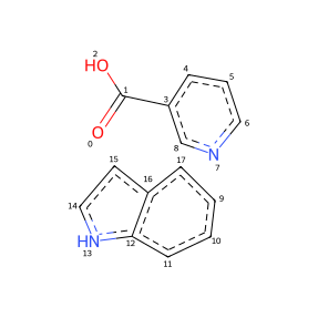 O=C(O)c1cccnc1.c1ccc2[nH]ccc2c1